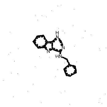 c1ccc(CNc2nc[nH]c3c4ccccc4nc2-3)cc1